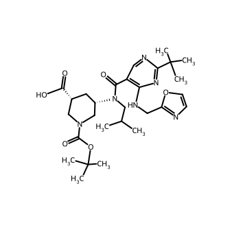 CC(C)CN(C(=O)c1cnc(C(C)(C)C)nc1NCc1ncco1)[C@H]1C[C@@H](C(=O)O)CN(C(=O)OC(C)(C)C)C1